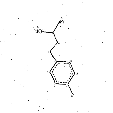 Cc1ccc(CCC(O)C(C)C)cc1